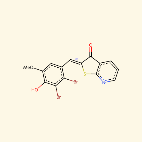 COc1cc(/C=C2\Sc3ncccc3C2=O)c(Br)c(Br)c1O